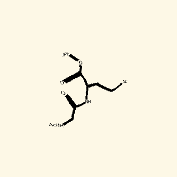 CC(=O)CCC(NC(=O)CNC(C)=O)C(=O)OC(C)C